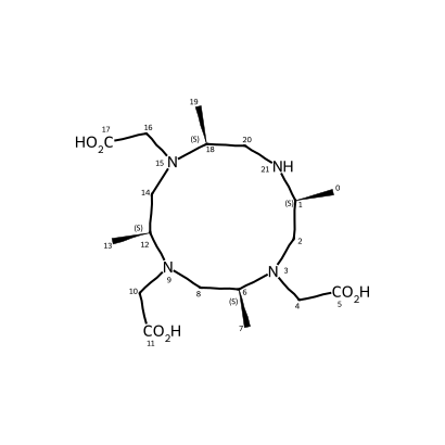 C[C@H]1CN(CC(=O)O)[C@@H](C)CN(CC(=O)O)[C@@H](C)CN(CC(=O)O)[C@@H](C)CN1